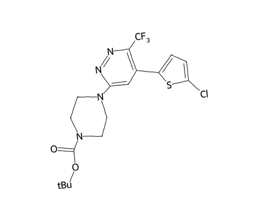 CC(C)(C)OC(=O)N1CCN(c2cc(-c3ccc(Cl)s3)c(C(F)(F)F)nn2)CC1